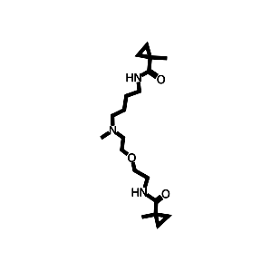 CN(CCCCNC(=O)C1(C)CC1)CCOCCNC(=O)C1(C)CC1